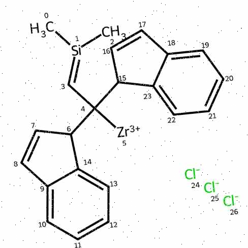 C[Si](C)=C[C]([Zr+3])(C1C=Cc2ccccc21)C1C=Cc2ccccc21.[Cl-].[Cl-].[Cl-]